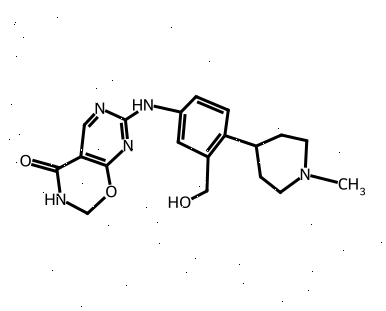 CN1CCC(c2ccc(Nc3ncc4c(n3)OCNC4=O)cc2CO)CC1